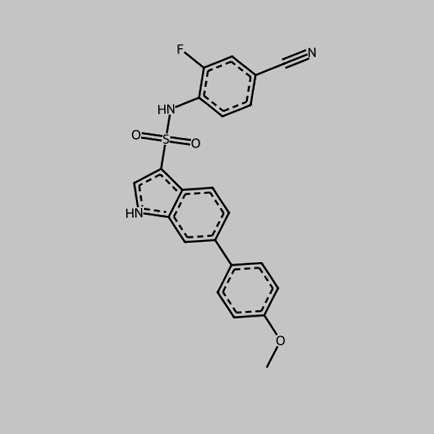 COc1ccc(-c2ccc3c(S(=O)(=O)Nc4ccc(C#N)cc4F)c[nH]c3c2)cc1